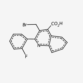 O=C(O)c1c(CBr)c(-c2ccccc2F)nc2ccccc12